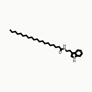 CCCCCCCCCCCCCCCCCCCC(=O)NCCc1c[nH]c2ccccc12